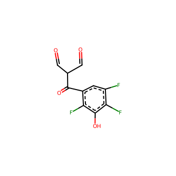 O=CC(C=O)C(=O)c1cc(F)c(F)c(O)c1F